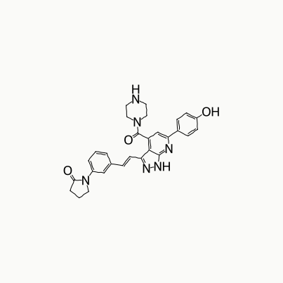 O=C(c1cc(-c2ccc(O)cc2)nc2[nH]nc(C=Cc3cccc(N4CCCC4=O)c3)c12)N1CCNCC1